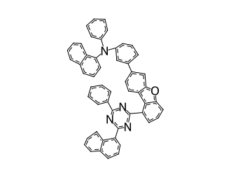 c1ccc(-c2nc(-c3cccc4ccccc34)nc(-c3cccc4oc5cc(-c6cccc(N(c7ccccc7)c7cccc8ccccc78)c6)ccc5c34)n2)cc1